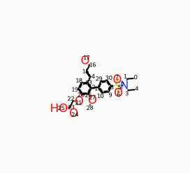 CCN(CC)S(=O)(=O)c1ccc(-c2c(C=CC=O)ccc(OCC(=O)O)c2OC)cc1